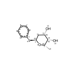 C[C@@H]1O[C@@H](Sc2ccccc2)C[C@H](O)[C@@H]1O